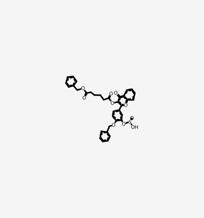 O=C(CCCCC(=O)Oc1c(-c2ccc(OCc3ccccc3)c(OS(=O)O)c2)oc2ccccc2c1=O)OCc1ccccc1